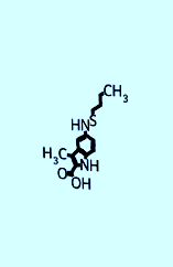 CCCCSNc1ccc2[nH]c(C(=O)O)c(C)c2c1